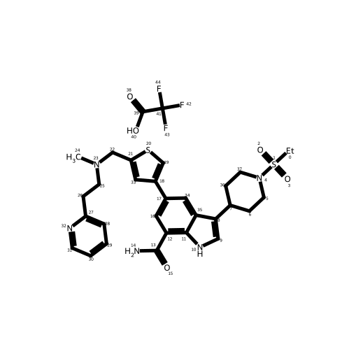 CCS(=O)(=O)N1CCC(c2c[nH]c3c(C(N)=O)cc(-c4csc(CN(C)CCc5ccccn5)c4)cc23)CC1.O=C(O)C(F)(F)F